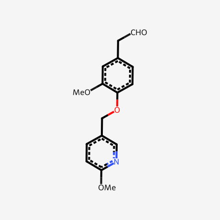 COc1ccc(COc2ccc(CC=O)cc2OC)cn1